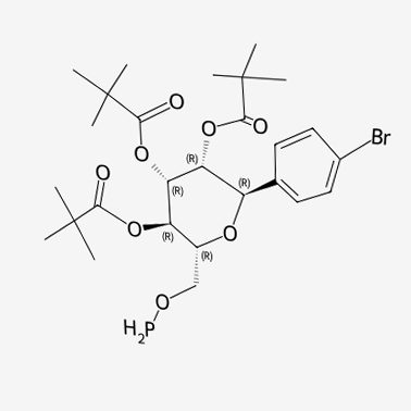 CC(C)(C)C(=O)O[C@@H]1[C@H](OC(=O)C(C)(C)C)[C@@H](c2ccc(Br)cc2)O[C@H](COP)[C@H]1OC(=O)C(C)(C)C